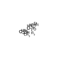 CCC1(CC)CC(=O)N(C(C)c2cccc(C(=O)N[C@@H]3c4ccccc4C[C@@]3(C)O)c2)C(=N)N1